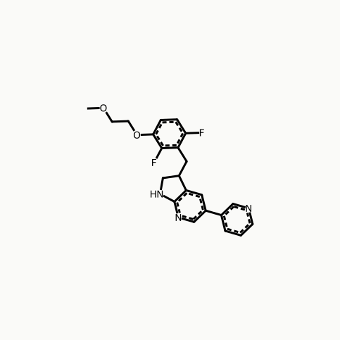 COCCOc1ccc(F)c(CC2CNc3ncc(-c4cccnc4)cc32)c1F